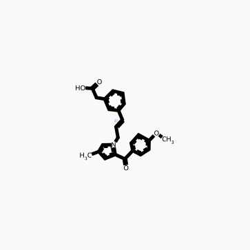 COc1ccc(C(=O)c2cc(C)cn2C/C=C/c2cccc(CC(=O)O)c2)cc1